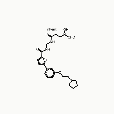 CCCCC[C@H](CN(O)C=O)C(=O)NCNC(=O)c1ccc(-c2cccc(OCCN3CCCC3)c2)o1